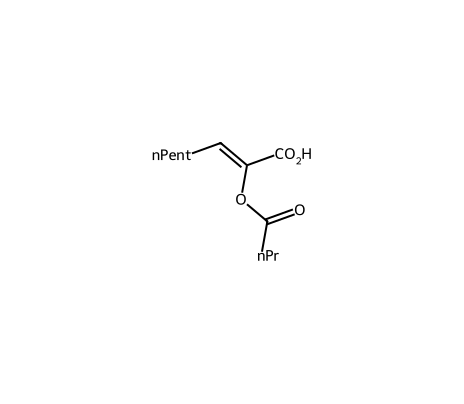 CCCCCC=C(OC(=O)CCC)C(=O)O